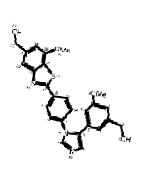 COc1cc(CO)cc(-c2cncn2-c2ccc(-c3nc4cc(CO)cc(OC)c4s3)cc2)c1